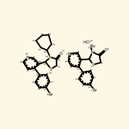 CCC(C)N1C(=O)CSC1c1cnccc1-c1ccc(Br)cc1.Cl.O=C1CSC(c2cnccc2-c2ccc(Br)cc2)N1C1CCCCC1